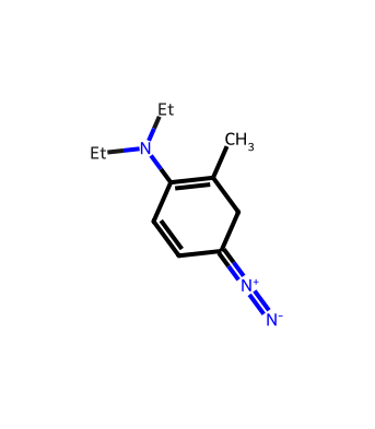 CCN(CC)C1=C(C)CC(=[N+]=[N-])C=C1